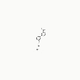 CC(C)(C)OC(=O)NCc1cccc(-c2ccc3occ(CO)c3c2)c1